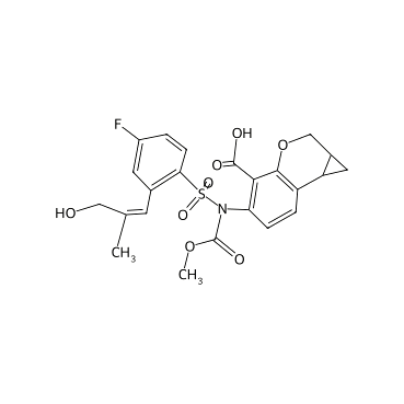 COC(=O)N(c1ccc2c(c1C(=O)O)OCC1CC21)S(=O)(=O)c1ccc(F)cc1C=C(C)CO